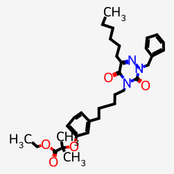 CCCCCCc1nn(Cc2ccccc2)c(=O)n(CCCCCc2cccc(OC(C)(C)C(=O)OCC)c2)c1=O